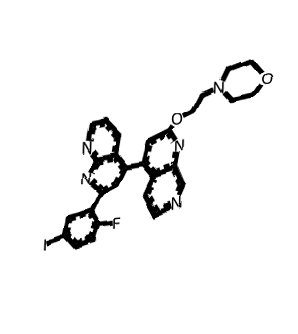 Fc1ccc(I)cc1-c1cc(-c2cc(OCCN3CCOCC3)nc3cnccc23)c2cccnc2n1